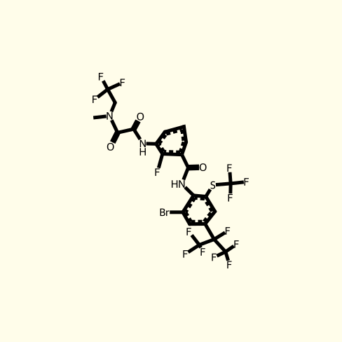 CN(CC(F)(F)F)C(=O)C(=O)Nc1cccc(C(=O)Nc2c(Br)cc(C(F)(C(F)(F)F)C(F)(F)F)cc2SC(F)(F)F)c1F